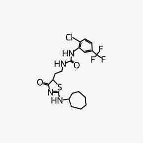 O=C(NCCC1SC(NC2CCCCCC2)=NC1=O)Nc1cc(C(F)(F)F)ccc1Cl